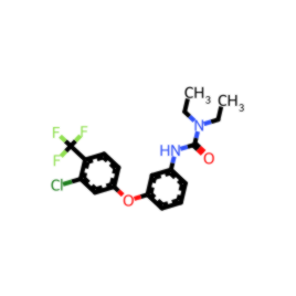 CCN(CC)C(=O)Nc1cccc(Oc2ccc(C(F)(F)F)c(Cl)c2)c1